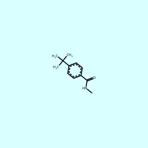 CC(C)(C)c1ccc(C(=O)NI)cc1